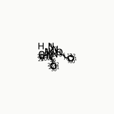 Nc1nc(OCCCc2ccccc2)nc2c1nc(-c1ccco1)n2CCc1ccccc1